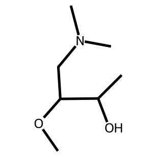 COC(CN(C)C)C(C)O